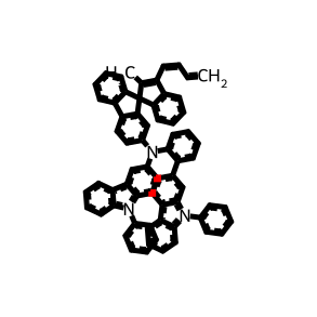 C=C/C=C\C1=C(C)C2(c3ccccc31)c1ccccc1-c1ccc(N(c3ccc4c(c3)c3ccccc3n4-c3ccccc3)c3ccccc3-c3ccc4c5ccccc5n(-c5ccccc5)c4c3)cc12